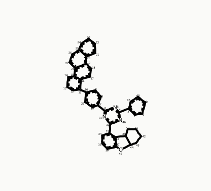 c1ccc(-c2nc(-c3ccc(-c4cccc5c4ccc4c6ccccc6ccc54)cc3)nc(-c3cccc4c3C3CCCCC3O4)n2)cc1